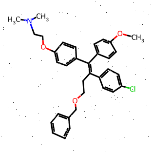 COc1ccc(C(=C(CCOCc2ccccc2)c2ccc(Cl)cc2)c2ccc(OCCN(C)C)cc2)cc1